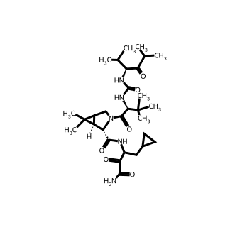 CC(C)C(=O)[C@@H](NC(=O)N[C@H](C(=O)N1CC2[C@@H]([C@H]1C(=O)NC(CC1CC1)C(=O)C(N)=O)C2(C)C)C(C)(C)C)C(C)C